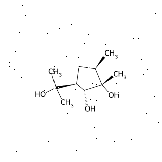 C[C@@H]1C[C@H](C(C)(C)O)[C@@H](O)[C@@]1(C)O